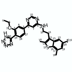 CCOc1cc(-c2cc(NCCc3c(C)sc4c(C)cc(F)cc34)ncn2)ccc1-c1nnn[nH]1